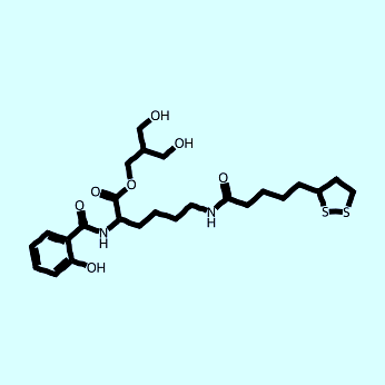 O=C(CCCCC1CCSS1)NCCCCC(NC(=O)c1ccccc1O)C(=O)OCC(CO)CO